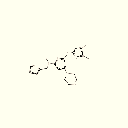 CCOC(=O)c1sc(Nc2nc(N(C)Cc3ccco3)cc(N3CCNCC3)n2)nc1C